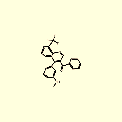 CNc1cccc(-c2c(C(=O)c3ccccc3)cnc3c(C(F)(F)F)cccc23)c1